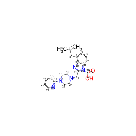 CC(C)Cc1cccc2c1nc(CN1CCN(c3ccccn3)CC1)n2C(=O)O